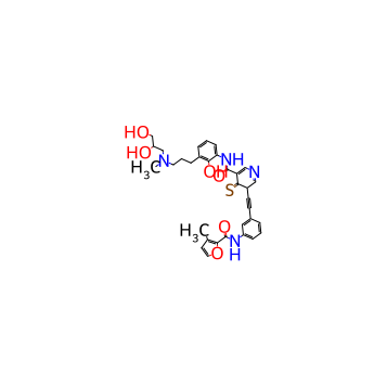 Cc1ccoc1C(=O)Nc1cccc(C#CC2C=NC=C(C(=O)Nc3cccc(CCCN(C)CC(O)CO)c3O)C2=S)c1